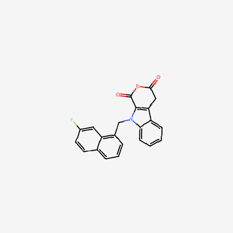 O=C1Cc2c(n(Cc3cccc4ccc(F)cc34)c3ccccc23)C(=O)O1